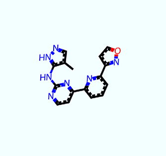 Cc1cn[nH]c1Nc1nccc(-c2cccc(-c3ccon3)n2)n1